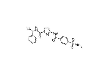 CC[C@@H](NC(=O)c1csc(NC(=O)c2ccc(S(N)(=O)=O)cc2)n1)c1ccccc1